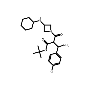 CC(C)(C)OC(=O)C(C(=O)N1CC(NC2CCCCC2)C1)C(N)c1ccc(Cl)cc1